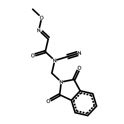 CON=CC(=O)N(C#N)CN1C(=O)c2ccccc2C1=O